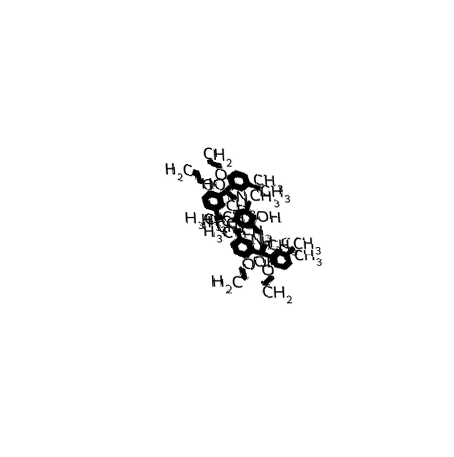 C=CCOc1ccc(C(C)(C)C)cc1C(O)(c1cc(C(C)(C)C)ccc1OCC=C)[C@@H](C)N=Cc1cc(C)cc(C=N[C@H](C)C(O)(c2cc(C(C)(C)C)ccc2OCC=C)c2cc(C(C)(C)C)ccc2OCC=C)c1O